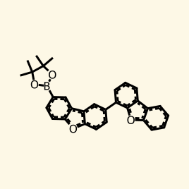 CC1(C)OB(c2ccc3oc4ccc(-c5cccc6c5oc5ccccc56)cc4c3c2)OC1(C)C